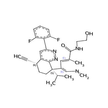 C#C[C@H]1CC[C@@](C(/C=C(\C)C(=O)NCCO)=C/N=C)(C(C)C)c2nnc(-c3c(F)cccc3F)cc21